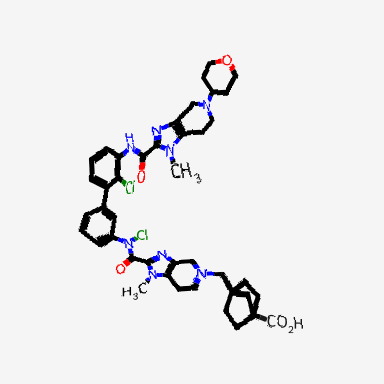 Cn1c(C(=O)Nc2cccc(-c3cccc(N(Cl)C(=O)c4nc5c(n4C)CCN(CC46CCC(C(=O)O)(CC4)C6)C5)c3)c2Cl)nc2c1CCN(C1CCOCC1)C2